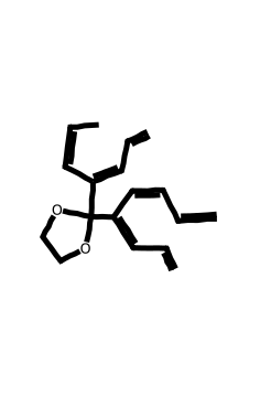 C=C/C=C\C(=C/C=C)C1(C(/C=C\C)=C/C=C)OCCO1